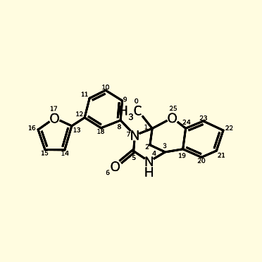 CC12CC(NC(=O)N1c1cccc(-c3ccco3)c1)c1ccccc1O2